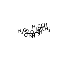 COC(=O)c1nnc(-c2nc(C(C)(C)C)ns2)o1